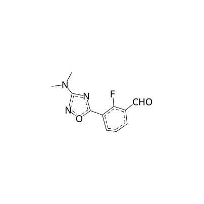 CN(C)c1noc(-c2cccc(C=O)c2F)n1